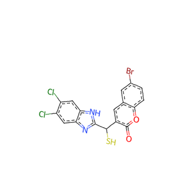 O=c1oc2ccc(Br)cc2cc1C(S)c1nc2cc(Cl)c(Cl)cc2[nH]1